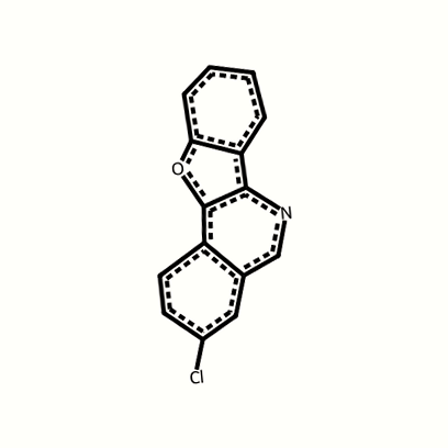 Clc1ccc2c(cnc3c4ccccc4oc23)c1